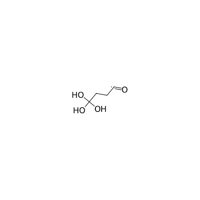 O=[C]CCC(O)(O)O